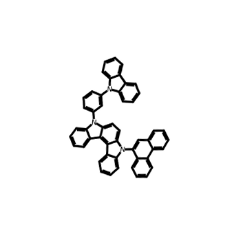 c1cc(-n2c3ccccc3c3ccccc32)cc(-n2c3ccccc3c3c4c5ccccc5n(-c5cc6ccccc6c6ccccc56)c4ccc32)c1